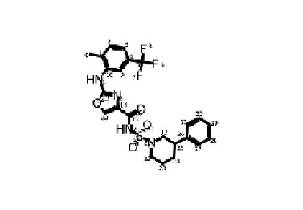 Cc1ccc(C(F)(F)F)cc1Nc1nc(C(=O)NS(=O)(=O)N2CCCC(c3ccccc3)C2)co1